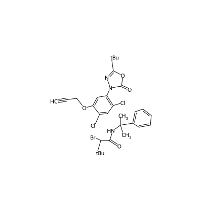 C#CCOc1cc(-n2nc(C(C)(C)C)oc2=O)c(Cl)cc1Cl.CC(C)(NC(=O)C(Br)C(C)(C)C)c1ccccc1